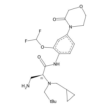 CC(C)(C)CN(CC1CC1)[C@@H](CN)C(=O)Nc1ccc(N2CCOCC2=O)cc1OC(F)F